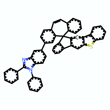 C1=Cc2ccc(-c3ccc4c(c3)nc(-c3ccccc3)n4-c3ccccc3)cc2C2(c3ccccc31)c1ccccc1-c1cc3sc4ccccc4c3cc12